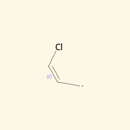 [CH2]/C=C\Cl